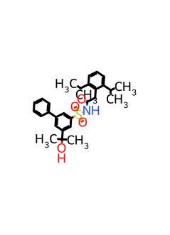 CC(C)c1cccc(C(C)C)c1CC(=O)NS(=O)(=O)c1cc(-c2ccccc2)cc(C(C)(C)O)c1